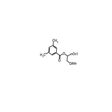 CCCCCCCCC(COC)OC(=O)c1cc(C)cc(C)c1